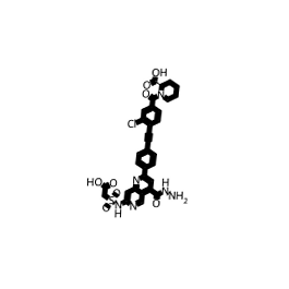 NNC(=O)c1cc(-c2ccc(C#Cc3ccc(C(=O)N4CCCC[C@H]4C(=O)O)cc3Cl)cc2)nc2cc(NS(=O)(=O)CC(=O)O)ncc12